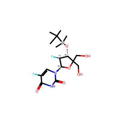 CC(C)(C)[Si](C)(C)O[C@H]1[C@H](F)[C@H](n2cc(F)c(=O)[nH]c2=O)OC1(CO)CO